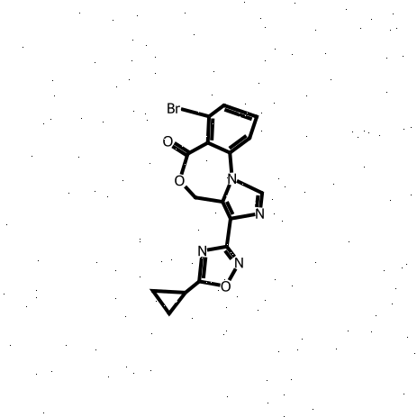 O=C1OCc2c(-c3noc(C4CC4)n3)ncn2-c2cccc(Br)c21